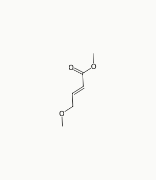 COC/C=C/C(=O)OC